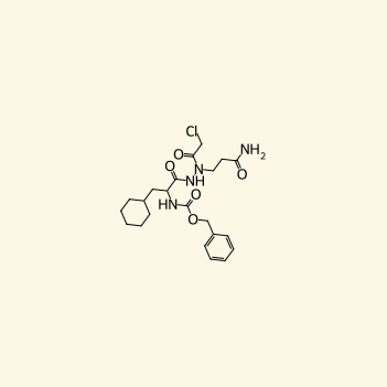 NC(=O)CCN(NC(=O)C(CC1CCCCC1)NC(=O)OCc1ccccc1)C(=O)CCl